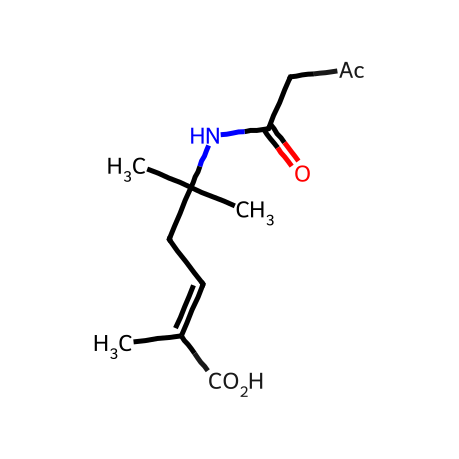 CC(=O)CC(=O)NC(C)(C)C/C=C(\C)C(=O)O